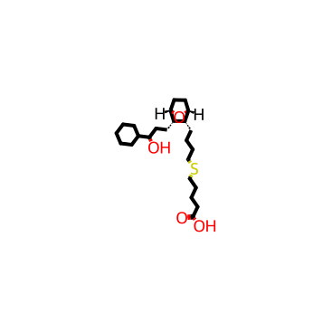 O=C(O)CCCCSCCCC[C@@H]1[C@H](CCC(O)C2CCCCC2)[C@@H]2CC[C@H]1O2